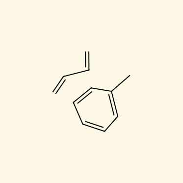 C=CC=C.Cc1ccccc1